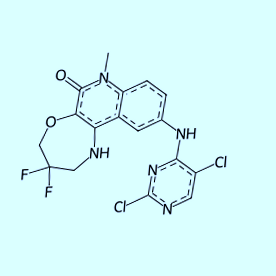 Cn1c(=O)c2c(c3cc(Nc4nc(Cl)ncc4Cl)ccc31)NCC(F)(F)CO2